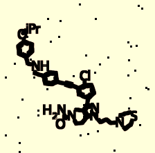 CC(C)Oc1ccc(CNCc2ccc(C#Cc3cc(-c4nn(CCCN5CCSCC5)c5c4CN(C(N)=O)CC5)ccc3Cl)cc2)cc1